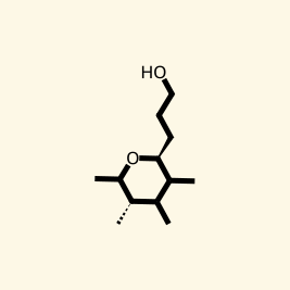 CC1O[C@@H](CCCO)C(C)C(C)[C@@H]1C